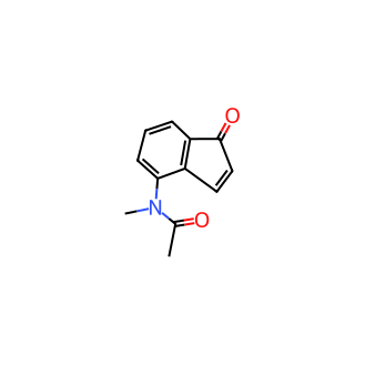 CC(=O)N(C)c1cccc2c1C=CC2=O